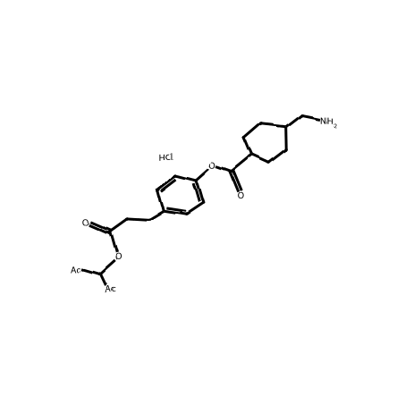 CC(=O)C(OC(=O)CCc1ccc(OC(=O)C2CCC(CN)CC2)cc1)C(C)=O.Cl